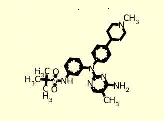 Cc1cnc(N(c2ccc(C3CCN(C)CC3)cc2)c2cccc(NS(=O)(=O)C(C)(C)C)c2)nc1N